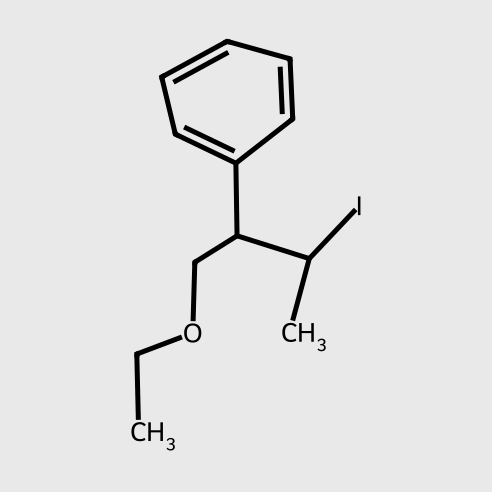 CCOCC(c1ccccc1)C(C)I